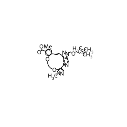 COC(=O)c1ccc2c(c1)OCCCOc1c(cnn1C)-c1cc3c(nn(COCC[Si](C)(C)C)c3cn1)/C=C/2